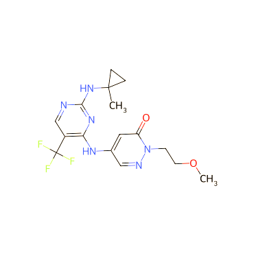 COCCn1ncc(Nc2nc(NC3(C)CC3)ncc2C(F)(F)F)cc1=O